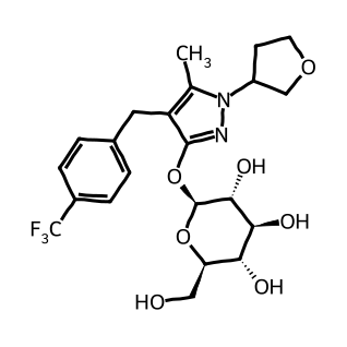 Cc1c(Cc2ccc(C(F)(F)F)cc2)c(O[C@@H]2O[C@H](CO)[C@@H](O)[C@H](O)[C@H]2O)nn1C1CCOC1